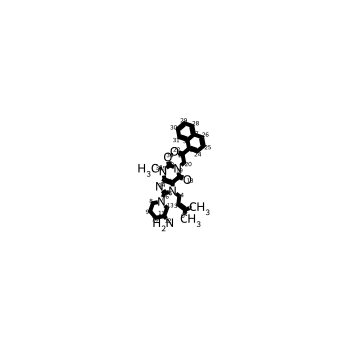 CC(C)=CCn1c(N2CCCC(N)C2)nc2c1c(=O)n(CC(=O)c1cccc3ccccc13)c(=O)n2C